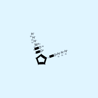 C1=CCC=C1.[C]=O.[C]=O.[C]=O.[H-].[H-].[H-].[H-].[H-].[H-].[W+6]